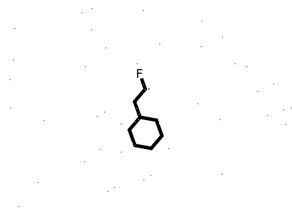 F[CH]CC1CCCCC1